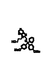 COc1ccc(C(OCc2nc3cncnc3n2CCCO)(c2ccccc2)c2ccc(OC)cc2)cc1